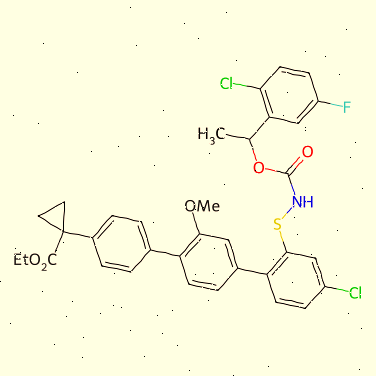 CCOC(=O)C1(c2ccc(-c3ccc(-c4ccc(Cl)cc4SNC(=O)OC(C)c4cc(F)ccc4Cl)cc3OC)cc2)CC1